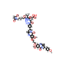 COc1ccc(C2=CN3C(=O)c4cc(OC)c(OCCCOc5cc6c(cc5OC)C(=O)N5C=C(c7ccc(NC(=O)[C@H](CCC(=O)O)NC(=O)[C@@H](NC(=O)CCCCCN8C(=O)C=CC8=O)C(C)C)cc7)C[C@H]5C=N6)cc4N=C[C@@H]3C2)cc1